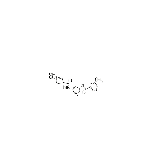 COc1ccc(C(=O)Nc2cnc3oc(-c4cccc(C)c4)nc3c2)cc1